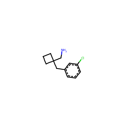 NCC1(Cc2cccc(Cl)c2)CCC1